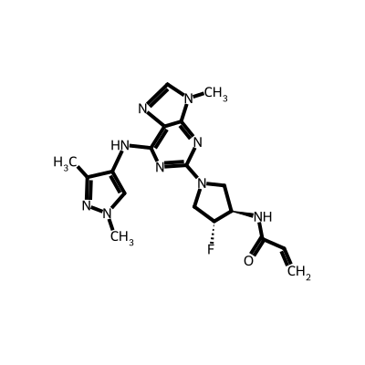 C=CC(=O)N[C@@H]1CN(c2nc(Nc3cn(C)nc3C)c3ncn(C)c3n2)C[C@H]1F